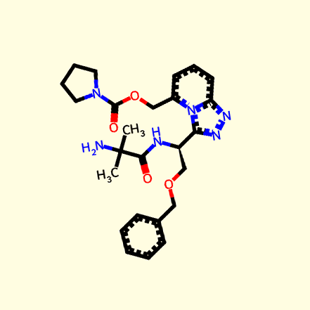 CC(C)(N)C(=O)N[C@H](COCc1ccccc1)c1nnc2cccc(COC(=O)N3CCCC3)n12